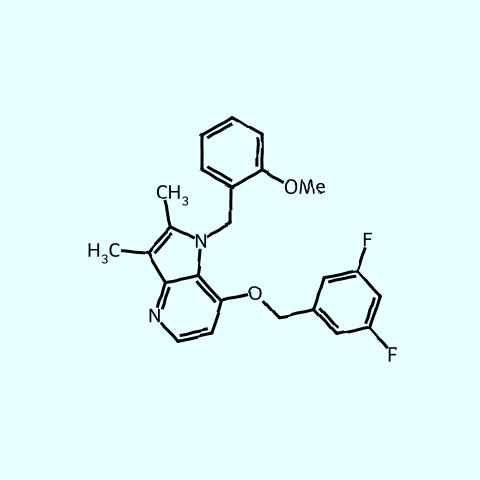 COc1ccccc1Cn1c(C)c(C)c2nccc(OCc3cc(F)cc(F)c3)c21